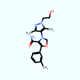 Cc1cccc(C2=C(C(N)=O)N(c3c(C)nn(CCO)c3C)CO2)c1